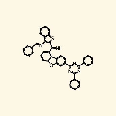 N=C(C1=CC=CC2Oc3cc(-c4nc(-c5ccccc5)nc(-c5ccccc5)n4)ccc3C12)c1sc2ccccc2c1/N=C/c1ccccc1